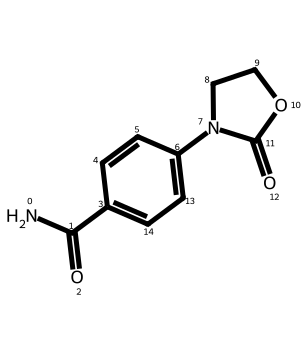 NC(=O)c1ccc(N2CCOC2=O)cc1